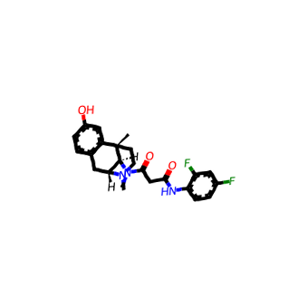 CN1CC[C@@]2(C)c3cc(O)ccc3C[C@@H]1[C@@H]2N(C)C(=O)CC(=O)Nc1ccc(F)cc1F